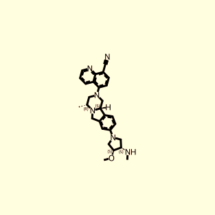 CN[C@H]1CN(c2ccc3c(c2)CN2[C@H](C)CN(c4ccc(C#N)c5ncccc45)C[C@H]32)C[C@@H]1OC